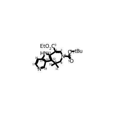 CCOC(=O)C1=CN(C(=O)OC(C)(C)C)CC(C)(C)c2c1[nH]c1ccncc21